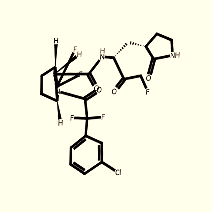 O=C1NCC[C@H]1C[C@@H](NC(=O)[C@H]1[C@H]2CC[C@H](CC2(F)F)N1C(=O)C(F)(F)c1cccc(Cl)c1)C(=O)CF